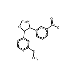 CSc1nccc(C2OC=NC2c2cccc([N+](=O)[O-])c2)n1